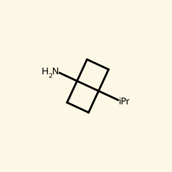 CC(C)C12CCC1(N)CC2